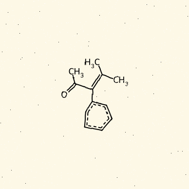 CC(=O)C(=C(C)C)c1ccccc1